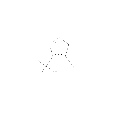 Nc1ccoc1C(F)(F)F